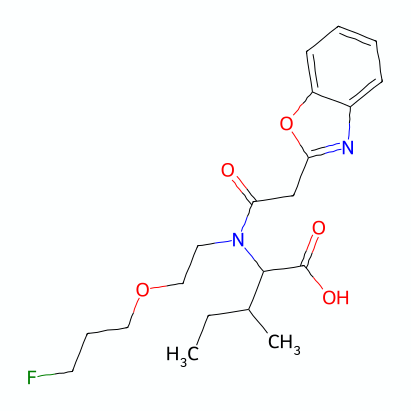 CCC(C)C(C(=O)O)N(CCOCCCF)C(=O)Cc1nc2ccccc2o1